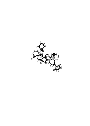 C[C@H]1CC[C@H](c2ccccc2)S(=O)(=O)N1Cc1ccc([C@]2(C(N)=O)CC[C@@H](n3cnnc3)CC2)cc1F